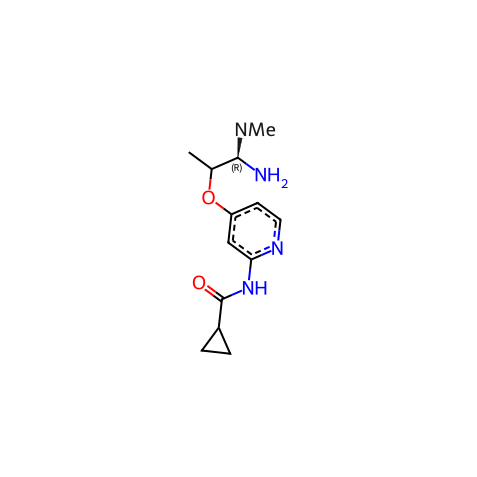 CN[C@@H](N)C(C)Oc1ccnc(NC(=O)C2CC2)c1